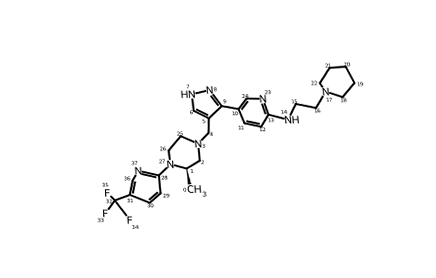 C[C@@H]1CN(Cc2c[nH]nc2-c2ccc(NCCN3CCCCC3)nc2)CCN1c1ccc(C(F)(F)F)cn1